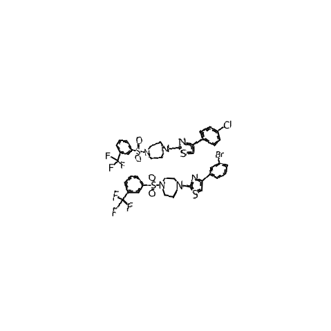 O=S(=O)(c1cccc(C(F)(F)F)c1)N1CCN(c2nc(-c3ccc(Cl)cc3)cs2)CC1.O=S(=O)(c1cccc(C(F)(F)F)c1)N1CCN(c2nc(-c3cccc(Br)c3)cs2)CC1